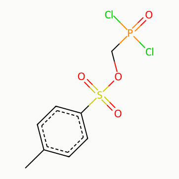 Cc1ccc(S(=O)(=O)OCP(=O)(Cl)Cl)cc1